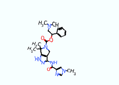 CN(C)CC(OC(=O)N1Cc2c(NC(=O)c3cn(C)cn3)n[nH]c2C1(C)C)c1ccccc1